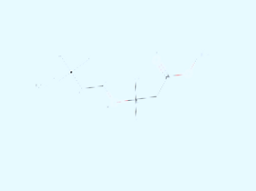 CCCCOC(=O)CC(C)(C)OCCC(C)(C)OC